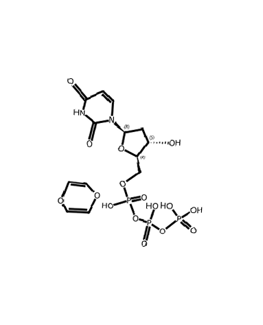 C1=COC=CO1.O=c1ccn([C@H]2C[C@H](O)[C@@H](COP(=O)(O)OP(=O)(O)OP(=O)(O)O)O2)c(=O)[nH]1